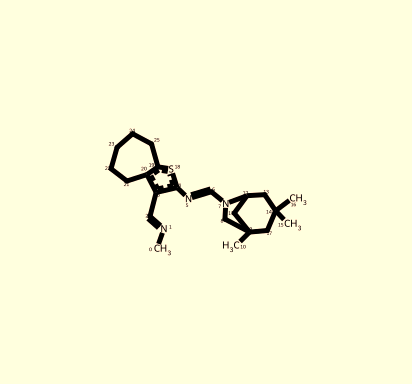 C/N=C/c1c(/N=C/N2CC3(C)CC2CC(C)(C)C3)sc2c1CCCCC2